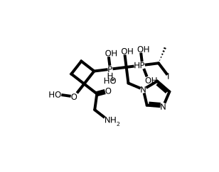 C[C@H](I)[PH](O)(O)C(O)(Cn1ccnc1)[PH](O)(O)C1CCC1(OO)C(=O)CN